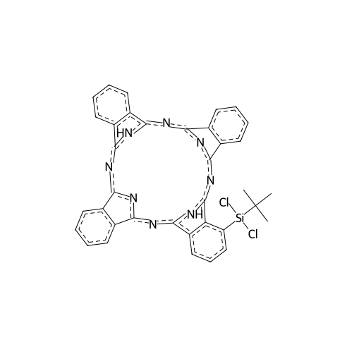 CC(C)(C)[Si](Cl)(Cl)c1cccc2c3nc4nc(nc5[nH]c(nc6nc(nc([nH]3)c12)-c1ccccc1-6)c1ccccc51)-c1ccccc1-4